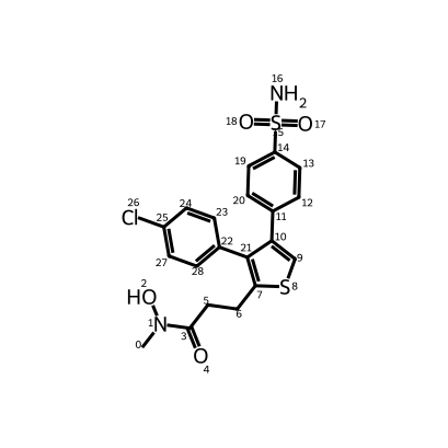 CN(O)C(=O)CCc1scc(-c2ccc(S(N)(=O)=O)cc2)c1-c1ccc(Cl)cc1